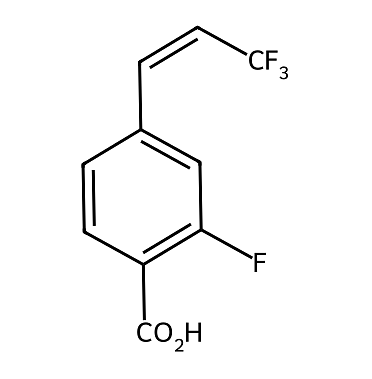 O=C(O)c1ccc(/C=C\C(F)(F)F)cc1F